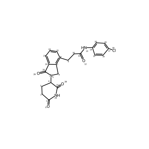 O=C1CCC(N2Cc3c(CCC(=O)Nc4ccc(Cl)cc4)cccc3C2=O)C(=O)N1